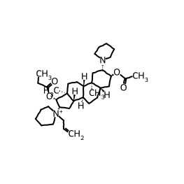 C=CC[N+]1([C@H]2C[C@H]3[C@@H]4CC[C@H]5C[C@H](OC(C)=O)[C@@H](N6CCCCC6)C[C@]5(C)[C@H]4CC[C@]3(C)[C@H]2OC(=O)CC)CCCCC1